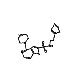 O=S(=O)(NCCc1cccs1)c1cc2c(N3CCNCC3)nccc2s1